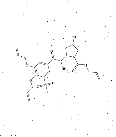 C=CCOC(=O)N1CC(S)CC1C(N)C(=O)c1cc(OCC=C)c(OCC=C)c(S(C)(=O)=O)c1